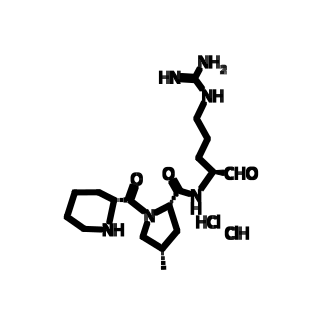 C[C@H]1C[C@@H](C(=O)N[C@H](C=O)CCCNC(=N)N)N(C(=O)[C@H]2CCCCN2)C1.Cl.Cl